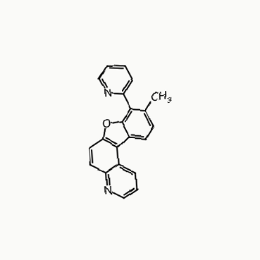 Cc1ccc2c(oc3ccc4ncccc4c32)c1-c1ccccn1